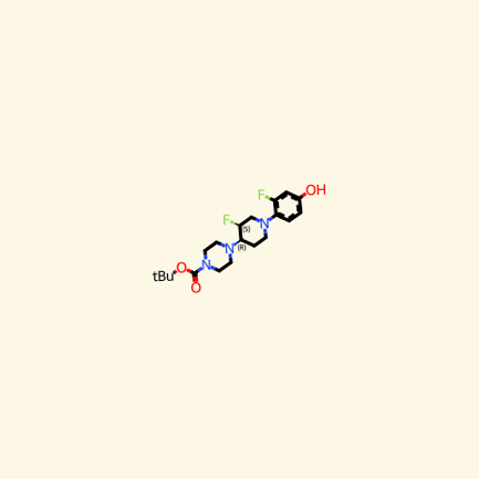 CC(C)(C)OC(=O)N1CCN([C@@H]2CCN(c3ccc(O)cc3F)C[C@@H]2F)CC1